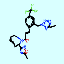 Cc1nnn(Cc2cc(C(F)(F)F)ccc2/C=C/C(=O)N2CCCCC2c2noc(C)n2)n1